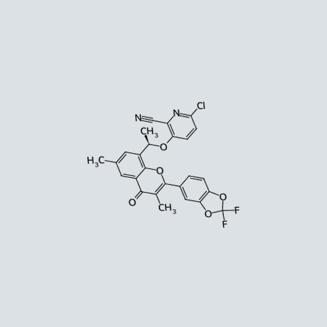 Cc1cc([C@@H](C)Oc2ccc(Cl)nc2C#N)c2oc(-c3ccc4c(c3)OC(F)(F)O4)c(C)c(=O)c2c1